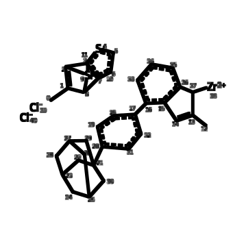 CC1=C2c3sccc3C1[Si]2(C)C.CC1=Cc2c(-c3ccc(C45CC6CC(CC(C6)C4)C5)cc3)cccc2[CH]1[Zr+2].[Cl-].[Cl-]